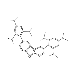 CC(C)c1cc(C(C)C)c(-c2ccc3oc4ccc(-c5c(C(C)C)cc(C(C)C)cc5C(C)C)cc4c3c2)c(C(C)C)c1